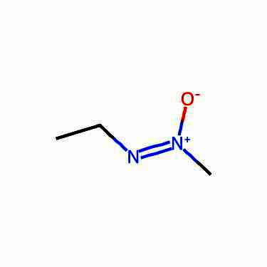 CCN=[N+](C)[O-]